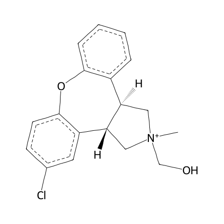 C[N+]1(CO)C[C@@H]2c3ccccc3Oc3ccc(Cl)cc3[C@H]2C1